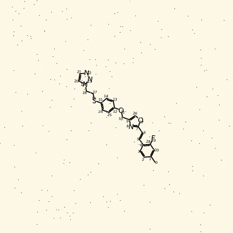 Cc1ccc(/C=C/c2nc(COc3ccc(SCCn4ccnn4)cc3)co2)c(F)c1